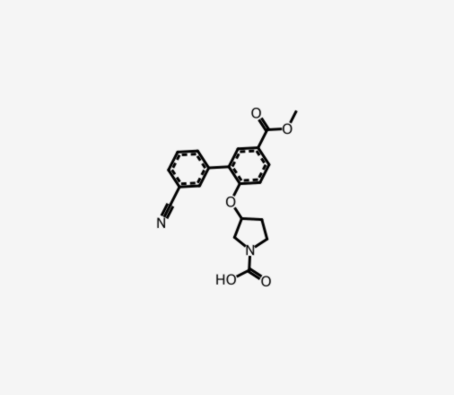 COC(=O)c1ccc(OC2CCN(C(=O)O)C2)c(-c2cccc(C#N)c2)c1